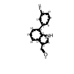 O=Cc1c[nH]c2c(-c3cccc(F)c3)cccc12